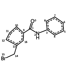 O=C(Nc1ccccc1)c1cccc(CBr)c1